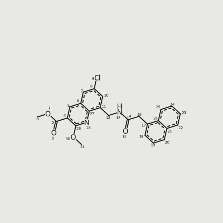 COC(=O)c1cc2cc(Cl)cc(CNC(=O)Cc3cccc4ccccc34)c2nc1OC